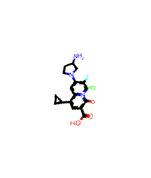 Cl.NC1CCN(c2cc3c(C4CC4)cc(C(=O)O)c(=O)n3cc2F)C1